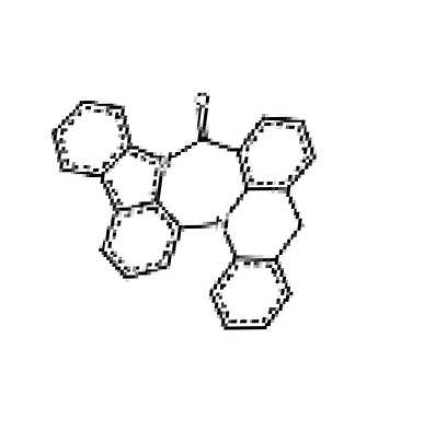 O=C1c2cccc3c2N(c2ccccc2C3)c2cccc3c4ccccc4n1c23